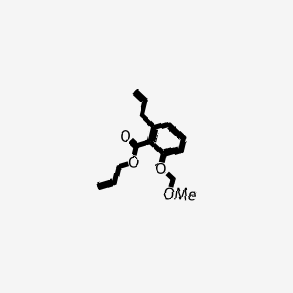 C=CCOC(=O)c1c(CC=C)cccc1OCOC